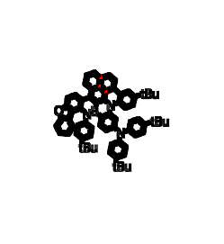 CC(C)(C)c1ccc(N2B3c4ccc(N(c5ccc(C(C)(C)C)cc5)c5ccc(C(C)(C)C)cc5)cc4N(c4ccc(C(C)(C)C)cc4-c4ccccc4)c4cc5ccccc5c(c43)-c3ccc4oc5ccccc5c4c32)cc1